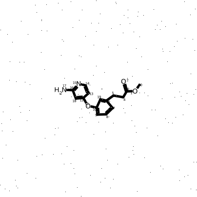 COC(=O)CCc1cccc(Oc2ccnc(N)c2)c1